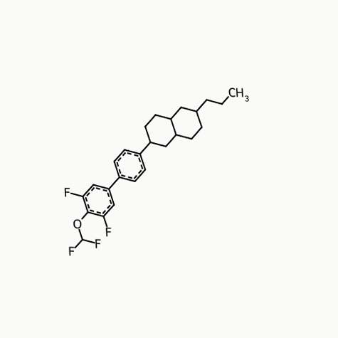 CCCC1CCC2CC(c3ccc(-c4cc(F)c(OC(F)F)c(F)c4)cc3)CCC2C1